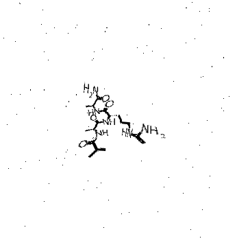 C=C(N)NCCC[C@H](NC(=O)[C@H](C)NC(=O)C(C)C)C(=O)N[C@@H](C)C(N)=O